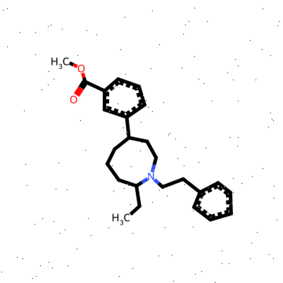 CCC1CCCC(c2cccc(C(=O)OC)c2)CCN1CCc1ccccc1